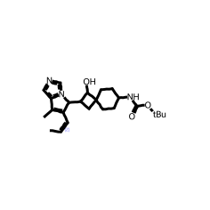 C/C=C\C1=C(C)c2cncn2C1C1CC2(CCC(NC(=O)OC(C)(C)C)CC2)C1O